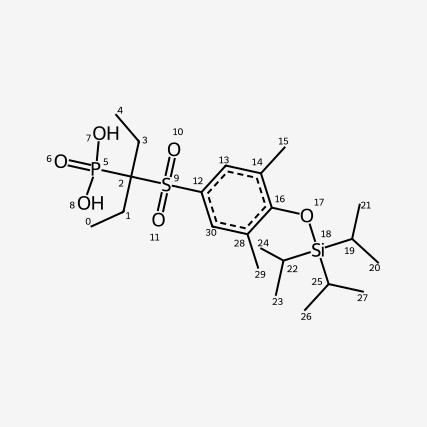 CCC(CC)(P(=O)(O)O)S(=O)(=O)c1cc(C)c(O[Si](C(C)C)(C(C)C)C(C)C)c(C)c1